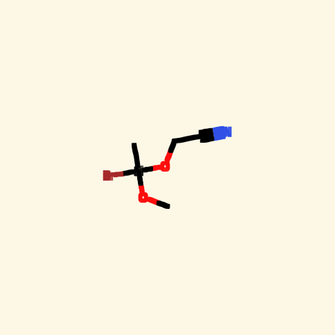 CO[Si](C)(Br)OCC#N